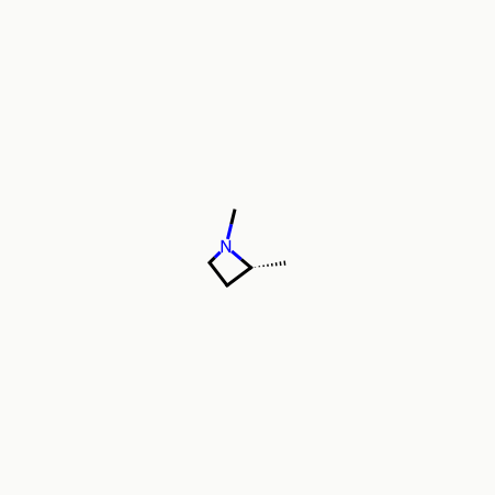 C[C@@H]1CCN1C